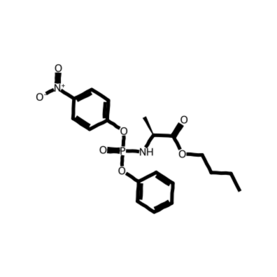 CCCCOC(=O)[C@H](C)NP(=O)(Oc1ccccc1)Oc1ccc([N+](=O)[O-])cc1